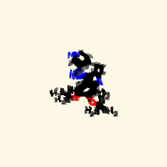 BC(B)(B)Oc1cc2nc3c(c(N[C@@H]4CCCNC4)c2cc1OC(B)(B)B)CCC3